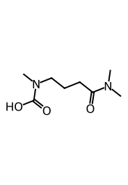 CN(C)C(=O)CCCN(C)C(=O)O